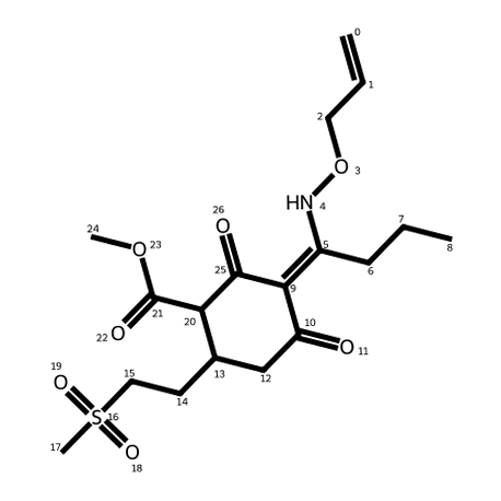 C=CCONC(CCC)=C1C(=O)CC(CCS(C)(=O)=O)C(C(=O)OC)C1=O